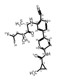 CC1CC1C(=O)Nc1cnc(-c2cnc(C#N)c(N[C@@H](C)C(=O)N(C)CC(F)F)c2)cn1